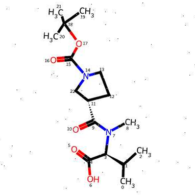 CC(C)[C@@H](C(=O)O)N(C)C(=O)[C@H]1CCN(C(=O)OC(C)(C)C)C1